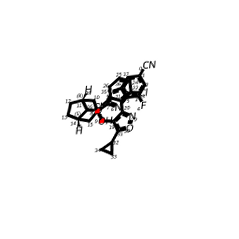 N#Cc1cc(F)c2nc(C3(O)C[C@H]4CC[C@@H](C3)C4OCc3c(C4=C(Cl)C=CCC4Cl)noc3C3CC3)sc2c1